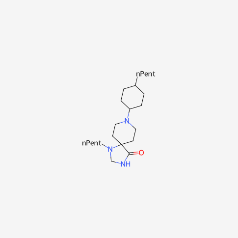 CCCCCC1CCC(N2CCC3(CC2)C(=O)NCN3CCCCC)CC1